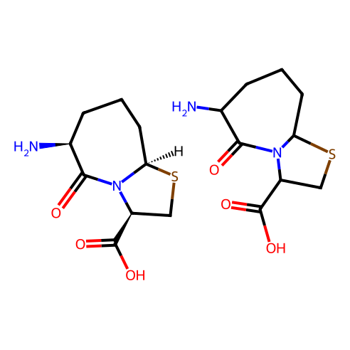 NC1CCCC2SCC(C(=O)O)N2C1=O.N[C@H]1CCC[C@H]2SC[C@@H](C(=O)O)N2C1=O